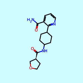 NC(=O)c1cccnc1C1CCC(NC(=O)[C@H]2CCOC2)CC1